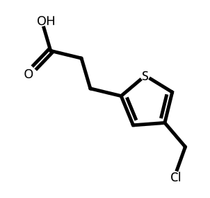 O=C(O)CCc1cc(CCl)cs1